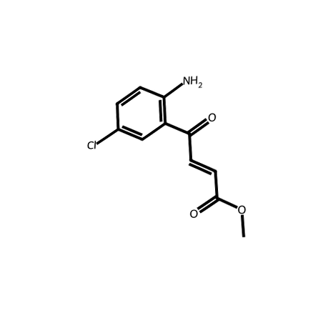 COC(=O)C=CC(=O)c1cc(Cl)ccc1N